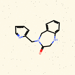 O=C1CNc2ccccc2CN1Cc1ccccn1